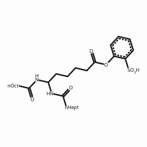 CCCCCCCCC(=O)NC(CCCCC(=O)Oc1ccccc1S(=O)(=O)O)NC(=O)CCCCCCC